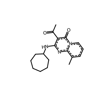 CC(=O)c1c(NC2CCCCCC2)nc2c(C)cccn2c1=O